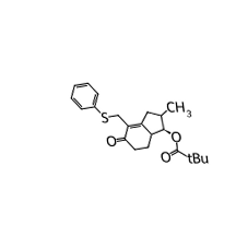 CC1CC2=C(CSc3ccccc3)C(=O)CCC2[C@@H]1OC(=O)C(C)(C)C